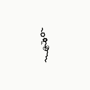 CCCCCCCC1COC(CCc2ccc([C@H]3CC[C@H](CCC)CC3)cc2F)OC1